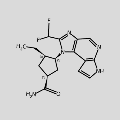 CC[C@@H]1C[C@H](C(N)=O)C[C@@H]1n1c(C(F)F)nc2cnc3[nH]ccc3c21